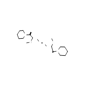 CN[C@@H](CSSC[C@H](NC)C(=O)N1CCCCC1)C(=O)N1CCCCC1